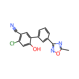 Cc1nc(-c2cccc(-c3cc(C#N)c(Cl)cc3O)c2)no1